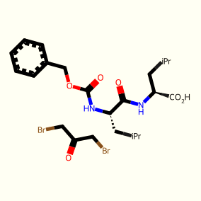 CC(C)C[C@H](NC(=O)[C@H](CC(C)C)NC(=O)OCc1ccccc1)C(=O)O.O=C(CBr)CBr